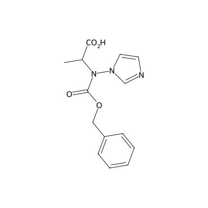 CC(C(=O)O)N(C(=O)OCc1ccccc1)n1ccnc1